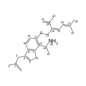 C=C(C)CC1=CCc2c1ccc(CC/C(=C/C=C(C)C)C(=C)C)c2C(C)N